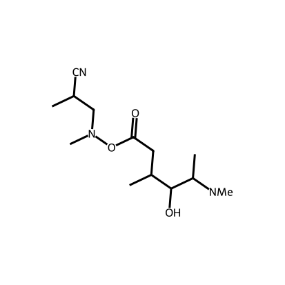 CNC(C)C(O)C(C)CC(=O)ON(C)CC(C)C#N